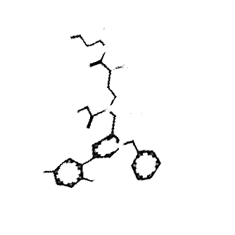 CC(C)(C)[C@H](c1cc(-c2cc(F)ccc2F)cn1Cc1ccccc1)N(CC[C@H](N)C(=O)N[C@H](CCC(=O)O)C(=O)O)C(=O)CO